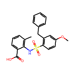 COc1ccc(S(=O)(=O)Nc2c(C)cccc2C(=O)O)c(Cc2ccccc2)c1